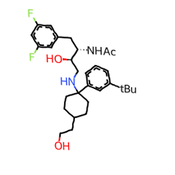 CC(=O)N[C@@H](Cc1cc(F)cc(F)c1)[C@H](O)CNC1(c2cccc(C(C)(C)C)c2)CCC(CCO)CC1